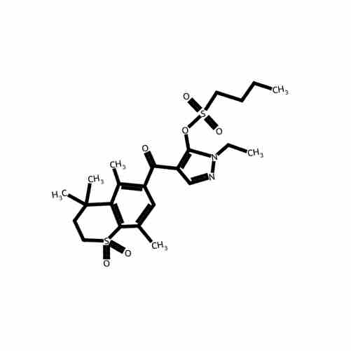 CCCCS(=O)(=O)Oc1c(C(=O)c2cc(C)c3c(c2C)C(C)(C)CCS3(=O)=O)cnn1CC